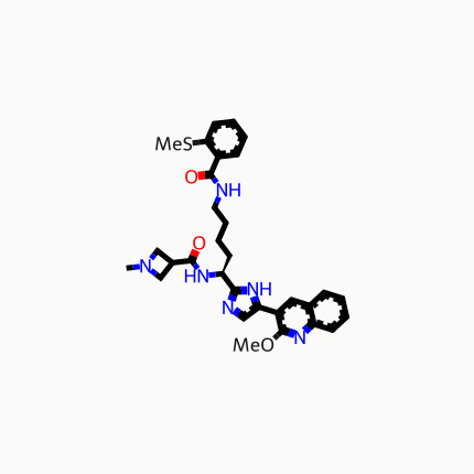 COc1nc2ccccc2cc1-c1cnc([C@H](CCCCNC(=O)c2ccccc2SC)NC(=O)C2CN(C)C2)[nH]1